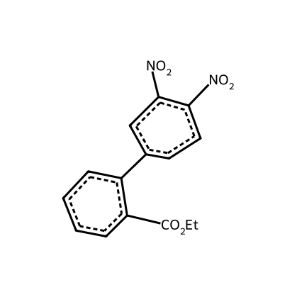 CCOC(=O)c1ccccc1-c1ccc([N+](=O)[O-])c([N+](=O)[O-])c1